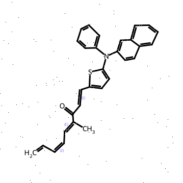 C=C/C=C\C=C(/C)C(=O)/C=C/c1ccc(N(c2ccccc2)c2ccc3ccccc3c2)s1